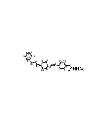 CC(=O)NC(C)Cc1ccc(C#Cc2ccc(OCCc3ccncc3)cc2)cc1